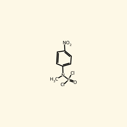 CN(c1ccc([N+](=O)[O-])cc1)P(=O)(Cl)Cl